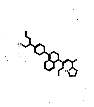 C=C/C=C(\CN)C1=CCC(C2=C3C=CC=CC3C(/C(=C/C(C)C3CCCN3)CCC)CC2)CC1